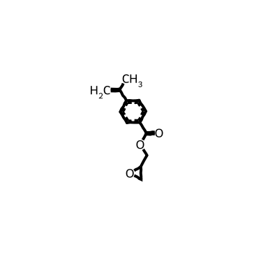 C=C(C)c1ccc(C(=O)OCC2CO2)cc1